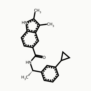 Cc1[nH]c2ccc(C(=O)N[C@@H](C)c3cccc(C4CC4)c3)cc2c1C